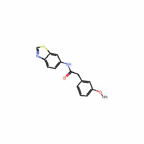 CCCOc1cccc(CC(=O)Nc2ccc3ncsc3c2)c1